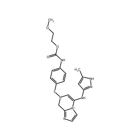 COCCOC(=O)Nc1ccc(SN2C=C(Nc3cc(C)[nH]n3)[N+]3C=CN=C3C2)cc1